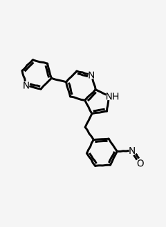 O=Nc1cccc(Cc2c[nH]c3ncc(-c4cccnc4)cc23)c1